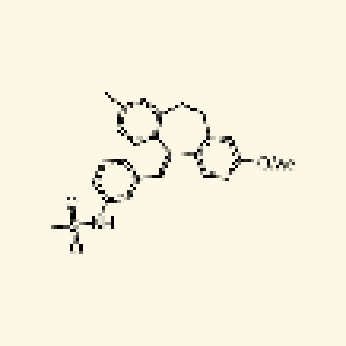 COc1ccc2c(c1)CCc1cc(C)ccc1/C2=C\c1cccc(NS(C)(=O)=O)c1